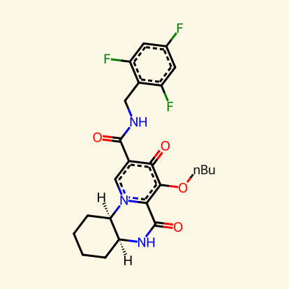 CCCCOc1c2n(cc(C(=O)NCc3c(F)cc(F)cc3F)c1=O)[C@@H]1CCCC[C@@H]1NC2=O